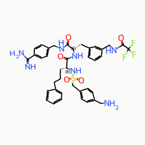 N=C(N)c1ccc(CNC(=O)[C@H](Cc2cccc(CNC(=O)C(F)(F)F)c2)NC(=O)[C@@H](CCCc2ccccc2)NS(=O)(=O)Cc2ccc(CN)cc2)cc1